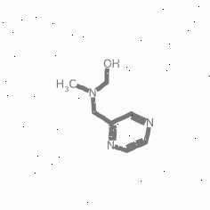 CN(CO)Cc1cnccn1